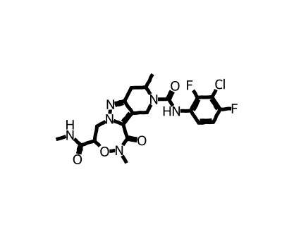 CNC(=O)C1Cn2nc3c(c2C(=O)N(C)O1)CN(C(=O)Nc1ccc(F)c(Cl)c1F)C(C)C3